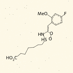 COc1cc(F)ccc1/C=C1/N[SH](CCCCCCC(=O)O)OO1